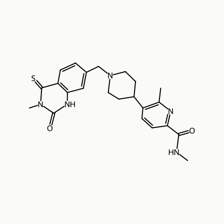 CNC(=O)c1ccc(C2CCN(Cc3ccc4c(=S)n(C)c(=O)[nH]c4c3)CC2)c(C)n1